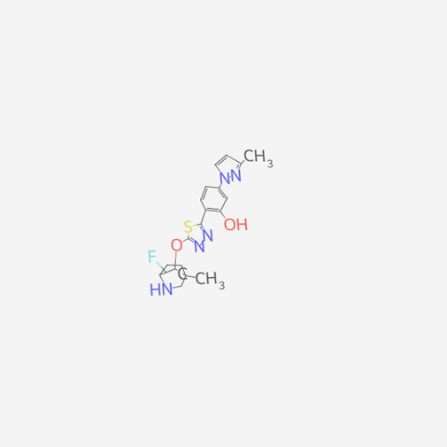 Cc1ccn(-c2ccc(-c3nnc(OC4CC5(C)CCC(NC5)C4F)s3)c(O)c2)n1